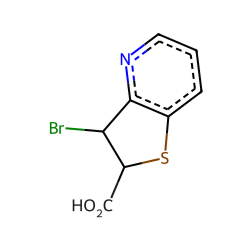 O=C(O)C1Sc2cccnc2C1Br